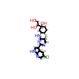 OCC(O)C1(O)CCC[C@H](Nc2nc(-c3c[nH]c4ncc(Cl)cc34)ncc2F)C1